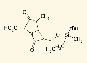 CC(O[Si](C)(C)C(C)(C)C)C1C(=O)N2C(C(=O)O)C(=O)C(C)C12